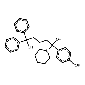 CC(C)(C)c1ccc(C(O)(CCCC(O)(c2ccccc2)c2ccccc2)N2CCCCC2)cc1